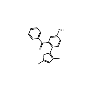 CC1=CC(C)=C(c2ccc(C(C)(C)C)cc2C(=O)c2ccccc2)C1